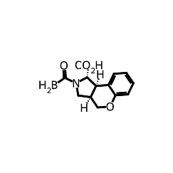 BC(=O)N1C[C@@H]2COc3ccccc3[C@@H]2[C@H]1C(=O)O